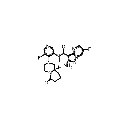 Nc1nn2cc(F)cnc2c1C(=O)Nc1cncc(F)c1N1CCN2C(=O)CCC[C@H]2C1